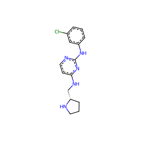 Clc1cccc(Nc2nccc(NC[C@@H]3CCCN3)n2)c1